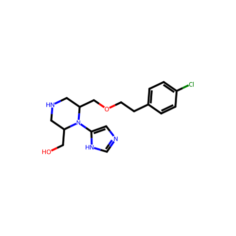 OCC1CNCC(COCCc2ccc(Cl)cc2)N1c1cnc[nH]1